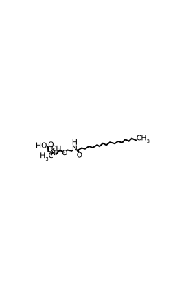 CCCCCCCCCCCCCCCCCC(=O)NCCOCC[N+](C)(C)CC(=O)O